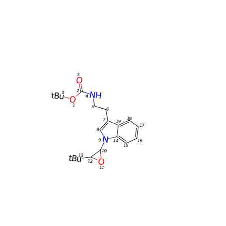 CC(C)(C)OC(=O)NCCc1cn(C2OC2C(C)(C)C)c2ccccc12